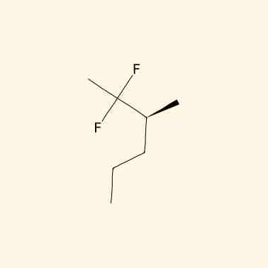 CCC[C@H](C)C(C)(F)F